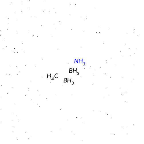 B.B.C.N